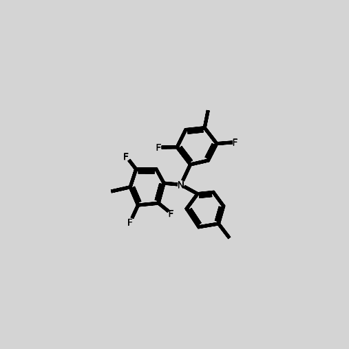 Cc1ccc(N(c2cc(F)c(C)cc2F)c2cc(F)c(C)c(F)c2F)cc1